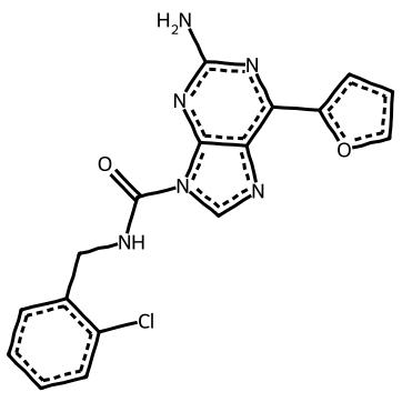 Nc1nc(-c2ccco2)c2ncn(C(=O)NCc3ccccc3Cl)c2n1